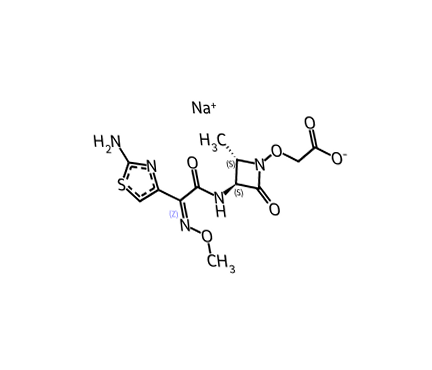 CO/N=C(\C(=O)N[C@@H]1C(=O)N(OCC(=O)[O-])[C@H]1C)c1csc(N)n1.[Na+]